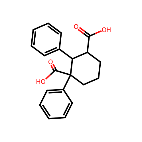 O=C(O)C1CCCC(C(=O)O)(c2ccccc2)C1c1ccccc1